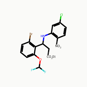 CCOC(=O)CC(Nc1cc(Cl)ccc1[N+](=O)[O-])c1c(Br)cccc1OC(F)F